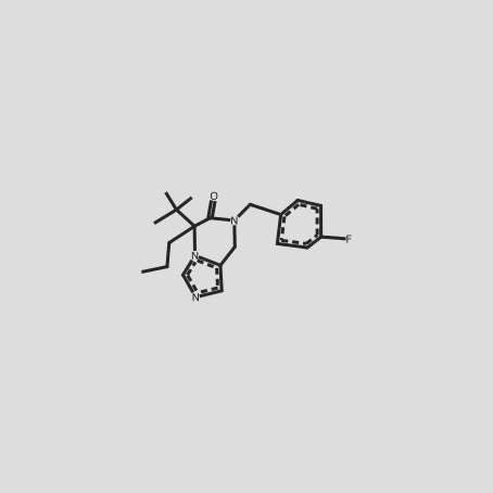 CCCC1(C(C)(C)C)C(=O)N(Cc2ccc(F)cc2)Cc2cncn21